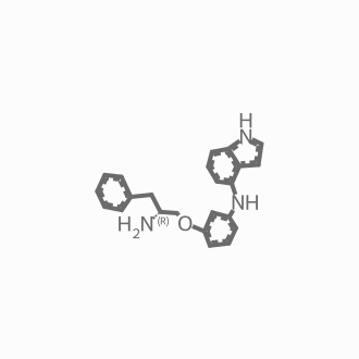 N[C@@H](COc1cccc(Nc2cccc3[nH]ccc23)c1)Cc1ccccc1